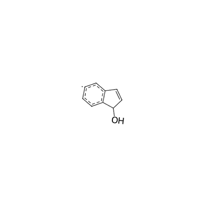 OC1C=Cc2c[c]ccc21